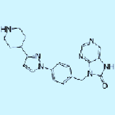 O=c1[nH]c2cncnc2n1Cc1ccc(-n2ccc(C3CCNCC3)n2)cc1